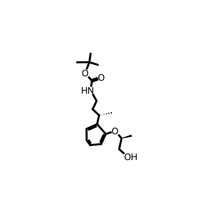 C[C@@H](CO)Oc1ccccc1[C@@H](C)CCNC(=O)OC(C)(C)C